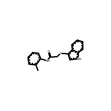 Cc1ccccc1NC(=O)CSc1c[nH]c2ccccc12